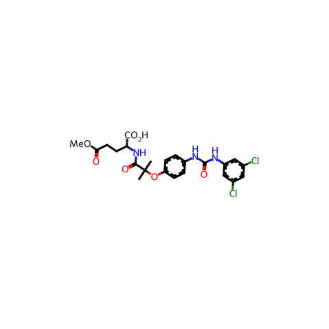 COC(=O)CCC(NC(=O)C(C)(C)Oc1ccc(NC(=O)Nc2cc(Cl)cc(Cl)c2)cc1)C(=O)O